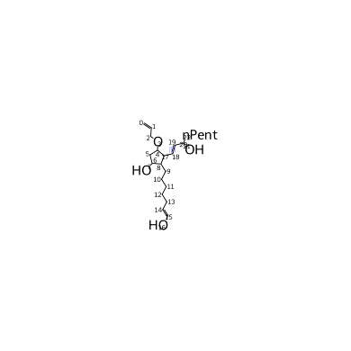 C=CCOC1CC(O)C(CCCCCC=CO)C1/C=C/C(O)CCCCC